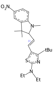 CCN(CC)c1nc(C(C)(C)C)c(/C=C/C2N(C)c3ccc([N+](=O)[O-])cc3C2(C)C)s1